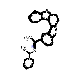 N=C(/N=C(\N)c1ccc2oc3ccc4sc5ccccc5c4c3c2c1)c1ccccc1